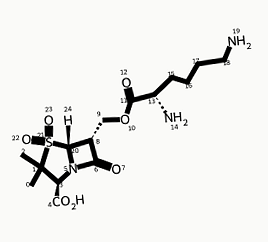 CC1(C)[C@H](C(=O)O)N2C(=O)[C@@H](COC(=O)[C@@H](N)CCCCN)[C@H]2S1(=O)=O